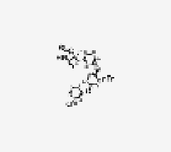 CCCc1cc(Oc2ccnc(Cl)c2)ccc1Oc1cccc(C[C@@]2(C)OC(=O)NC2=O)c1